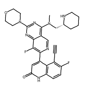 C#Cc1c(F)ccc2[nH]c(=O)cc(-c3ncc4c(N(C)C[C@H]5CCCCN5)nc(N5CCOCC5)nc4c3F)c12